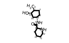 C[C@H]1CC[C@H](NC(=O)C2CCCCN2)C[C@@H]1O